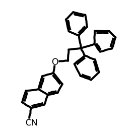 N#Cc1ccc2cc(OCCC(c3ccccc3)(c3ccccc3)c3ccccc3)ccc2c1